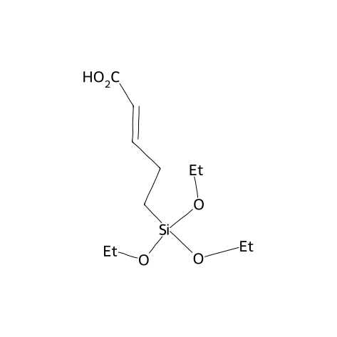 CCO[Si](CCC=CC(=O)O)(OCC)OCC